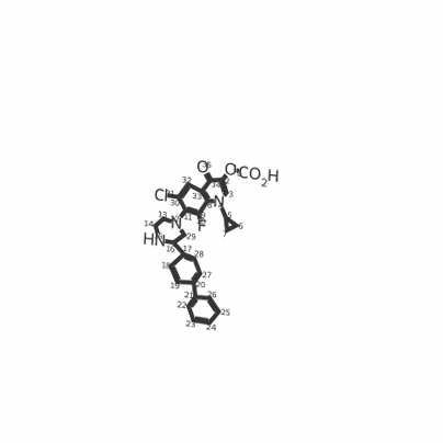 O=C(O)Oc1cn(C2CC2)c2c(F)c(N3CCNC(c4ccc(-c5ccccc5)cc4)C3)c(Cl)cc2c1=O